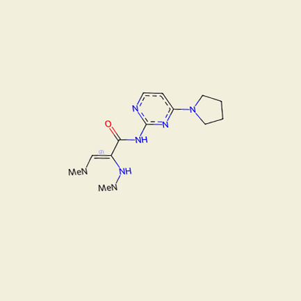 CN/C=C(\NNC)C(=O)Nc1nccc(N2CCCC2)n1